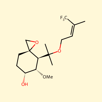 CO[C@@H]1[C@H](O)CC[C@]2(CO2)[C@H]1C(C)(C)OC/C=C(/C)C(F)(F)F